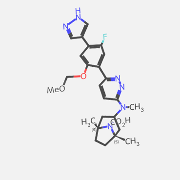 COCOc1cc(-c2cn[nH]c2)c(F)cc1-c1ccc(N(C)C2C[C@]3(C)CC[C@](C)(C2)N3C(=O)O)nn1